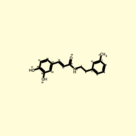 Cc1cccc(CCNC(=O)C=Cc2ccc(O)c(O)c2)c1